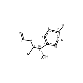 C=CCC(C)[C@@H](O)c1ccc(C)cc1